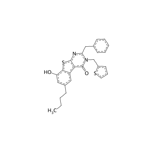 CCCCc1cc(O)c2sc3nc(Cc4ccccc4)n(Cc4cccs4)c(=O)c3c2c1